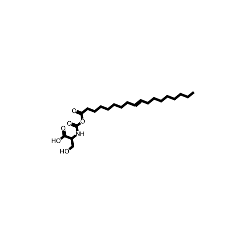 CCCCCCCCC=CCCCCCCCC(=O)OC(=O)NC(CO)C(=O)O